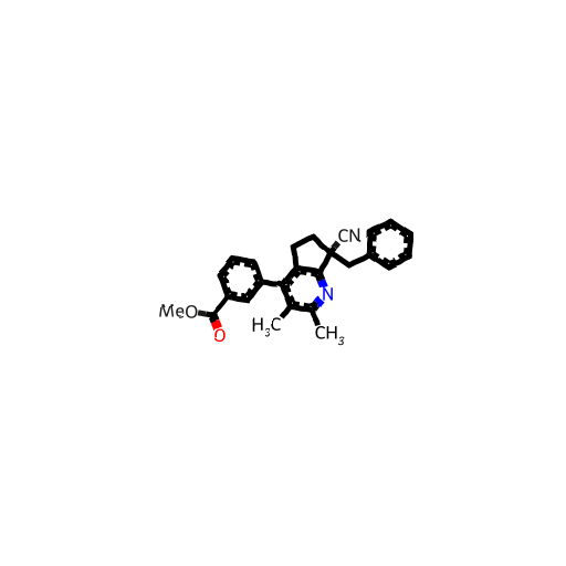 COC(=O)c1cccc(-c2c(C)c(C)nc3c2CCC3(C#N)Cc2ccccc2)c1